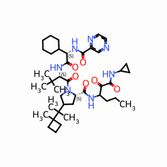 CCCC(NC(=O)[C@@H]1CC(C(C)(C)C2(C)CCC2)CN1C(=O)[C@@H](NC(=O)[C@@H](NC(=O)c1cnccn1)C1CCCCC1)C(C)(C)C)C(=O)C(=O)NC1CC1